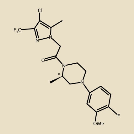 COc1cc(N2CCN(C(=O)Cn3nc(C(F)(F)F)c(Cl)c3C)[C@H](C)C2)ccc1F